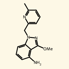 COc1nn(Cc2cccc(C)n2)c2cccc(N)c12